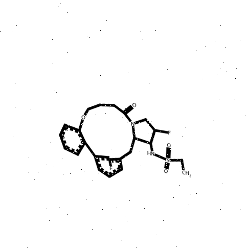 CCS(=O)(=O)NC1C(F)CN2C(=O)CCCOc3ccccc3-c3cccc(c3F)CC12